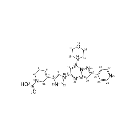 O=C(O)N1CCC=C(c2cn(-c3cc(N4CCOCC4)n4nc(-c5ccncc5)cc4n3)cn2)C1